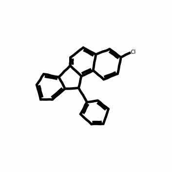 Clc1ccc2c3c(ccc2c1)-c1ccccc1C3c1ccccc1